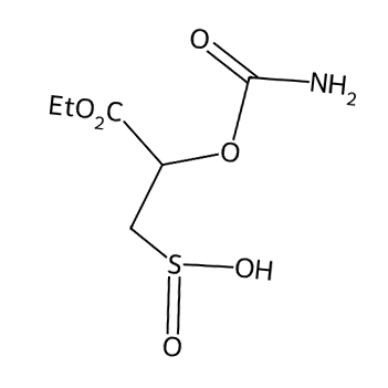 CCOC(=O)C(CS(=O)O)OC(N)=O